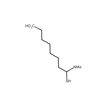 CCCC(CCCCCCC(=O)O)NC